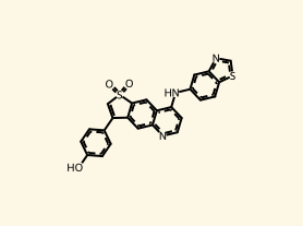 O=S1(=O)C=C(c2ccc(O)cc2)c2cc3nccc(Nc4ccc5scnc5c4)c3cc21